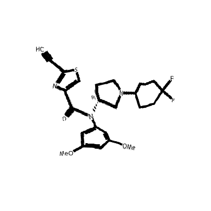 C#Cc1nc(C(=O)N(c2cc(OC)cc(OC)c2)[C@@H]2CCN(C3CCC(F)(F)CC3)C2)cs1